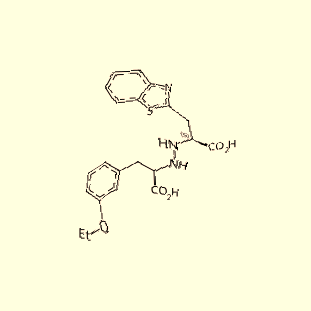 CCOc1cccc(CC(NN[C@@H](Cc2nc3ccccc3s2)C(=O)O)C(=O)O)c1